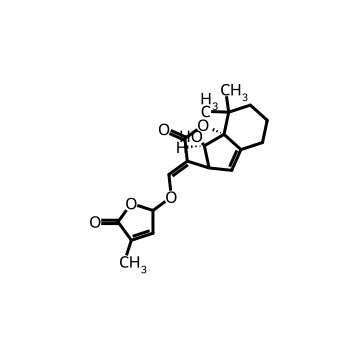 CC1=CC(O/C=C2/C(=O)O[C@]34C(=CC2[C@H]3O)CCCC4(C)C)OC1=O